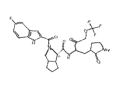 O=C1NCCC1CC(NC(=O)[C@@H]1C2CCCC2CN1C(=O)c1cc2cc(F)ccc2[nH]1)C(=O)COC(F)(F)F